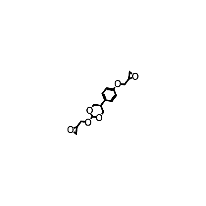 c1cc(C2COC(OCC3CO3)OC2)ccc1OCC1CO1